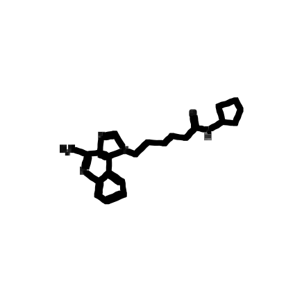 Nc1nc2ccccc2c2c1ncn2CCCCCC(=O)NC1CCCC1